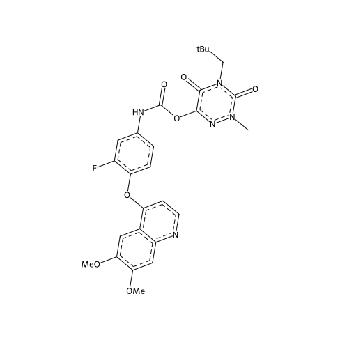 COc1cc2nccc(Oc3ccc(NC(=O)Oc4nn(C)c(=O)n(CC(C)(C)C)c4=O)cc3F)c2cc1OC